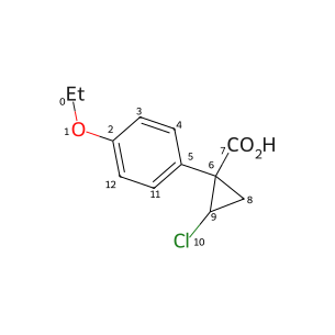 CCOc1ccc(C2(C(=O)O)CC2Cl)cc1